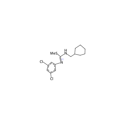 CS/C(=N\c1cc(Cl)cc(Cl)c1)NCC1CCCCC1